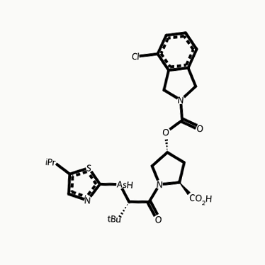 CC(C)c1cnc([AsH][C@H](C(=O)N2C[C@H](OC(=O)N3Cc4cccc(Cl)c4C3)C[C@H]2C(=O)O)C(C)(C)C)s1